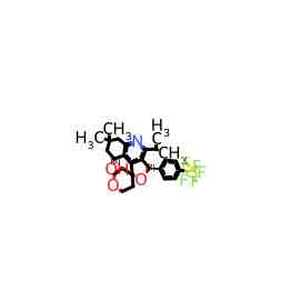 CC(C)c1nc2c(c3c1[C@@H](c1ccc(S(F)(F)(F)(F)F)cc1)OC31CCOCC1)[C@@H](O)CC(C)(C)C2